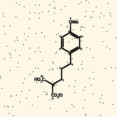 CCOC(=O)C(CCCc1ccc(OC)cc1)C(=O)O